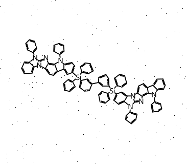 c1ccc(-n2c3ccc([Si](c4ccccc4)(c4ccccc4)c4cccc(-c5cccc([Si](c6ccccc6)(c6ccccc6)c6ccc7c(c6)n6c8ccc9c%10ccccc%10n(-c%10ccccc%10)c9c8nc6n7-c6ccccc6)c5)c4)cc3c3ccc4c(nc5n(-c6ccccc6)c6ccccc6n45)c32)cc1